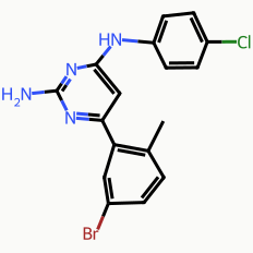 Cc1ccc(Br)cc1-c1cc(Nc2ccc(Cl)cc2)nc(N)n1